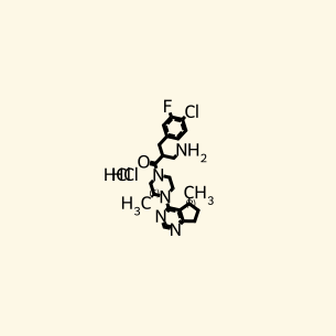 C[C@@H]1CCc2ncnc(N3CCN(C(=O)C(CN)Cc4ccc(Cl)c(F)c4)C[C@@H]3C)c21.Cl.Cl